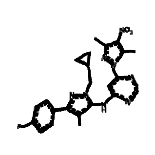 Cc1nn(-c2cc(Nc3c(C)c(-c4ccc(F)cc4)nn3CC3CC3)ncn2)c(C)c1[N+](=O)[O-]